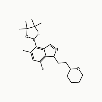 Cc1cc(F)c2c(c1B1OC(C)(C)C(C)(C)O1)C=NC2CCC1CCCCO1